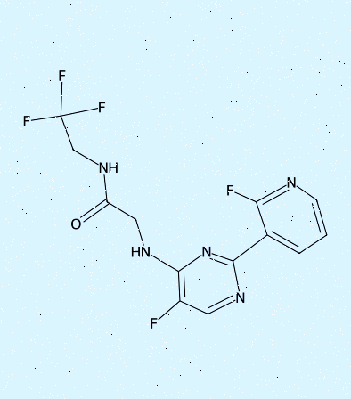 O=C(CNc1nc(-c2cccnc2F)ncc1F)NCC(F)(F)F